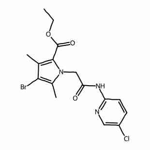 CCOC(=O)c1c(C)c(Br)c(C)n1CC(=O)Nc1ccc(Cl)cn1